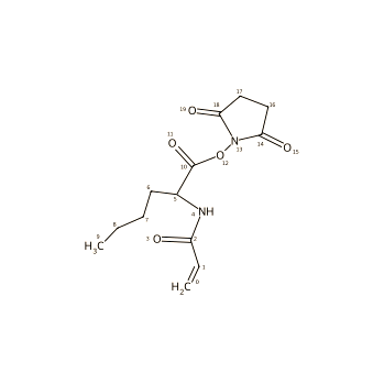 C=CC(=O)NC(CCCC)C(=O)ON1C(=O)CCC1=O